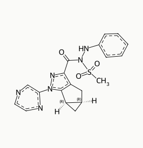 CS(=O)(=O)N(Nc1ccccc1)C(=O)c1nn(-c2cnccn2)c2c1C[C@H]1C[C@@H]21